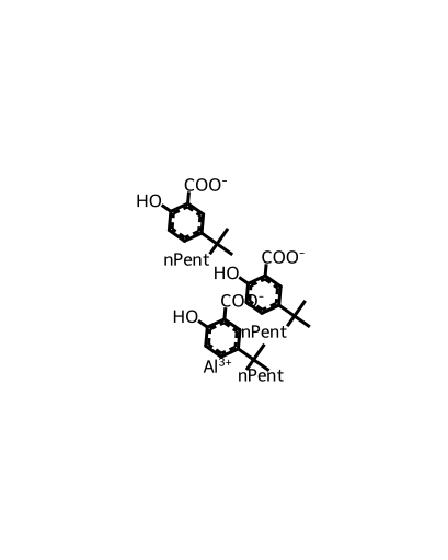 CCCCCC(C)(C)c1ccc(O)c(C(=O)[O-])c1.CCCCCC(C)(C)c1ccc(O)c(C(=O)[O-])c1.CCCCCC(C)(C)c1ccc(O)c(C(=O)[O-])c1.[Al+3]